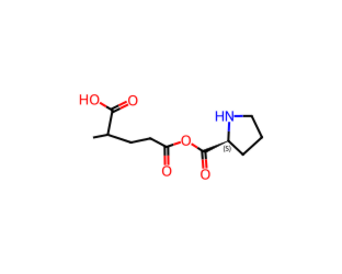 CC(CCC(=O)OC(=O)[C@@H]1CCCN1)C(=O)O